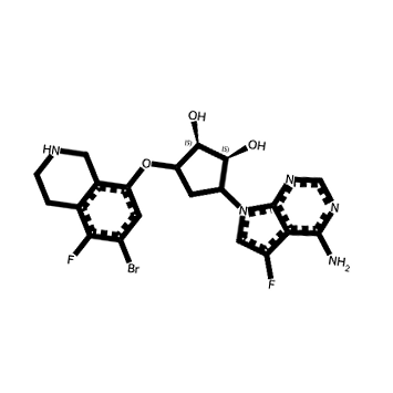 Nc1ncnc2c1c(F)cn2C1CC(Oc2cc(Br)c(F)c3c2CNCC3)[C@@H](O)[C@H]1O